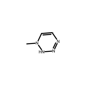 CN1C=[C]N=NN1